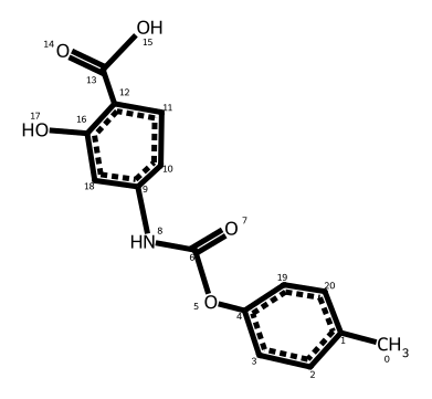 Cc1ccc(OC(=O)Nc2ccc(C(=O)O)c(O)c2)cc1